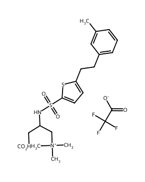 Cc1cccc(CCc2ccc(S(=O)(=O)NC(CC(=O)O)C[N+](C)(C)C)s2)c1.O=C([O-])C(F)(F)F